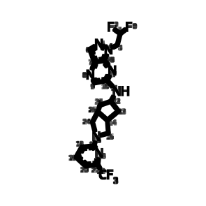 FC(F)Cn1ncc2ncc(NC3CC4CN(c5cccc(C(F)(F)F)n5)CC4C3)nc21